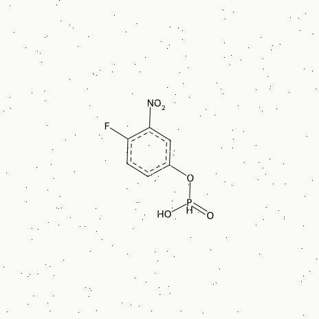 O=[N+]([O-])c1cc(O[PH](=O)O)ccc1F